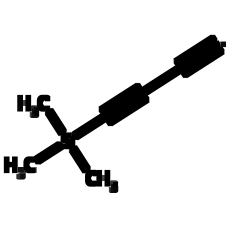 [C]#CC#C[Si](C)(C)C